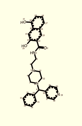 O=C(NCCN1CCN(C(c2ccccc2)c2ccncc2)CC1)c1cc2cccc(O)c2cc1O